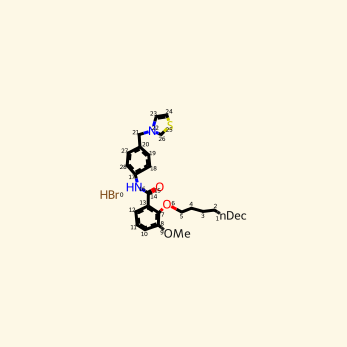 Br.CCCCCCCCCCCCCCOc1c(OC)cccc1C(=O)Nc1ccc(CN2C=CSC2)cc1